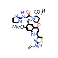 COc1ccc2c(O[C@@H]3C[C@@H](C(=O)O)N(C(=O)[C@@H](Nc4ncccn4)C(C)C)C3)cc(-c3csc(NC(C)C)n3)nc2c1